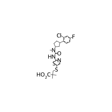 CN(C(=O)Nc1ncc(SCC(C)(C)C(=O)O)s1)C1CCC(c2ccc(F)cc2Cl)C1